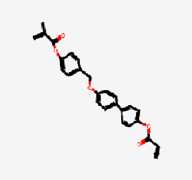 C=CC(=O)Oc1ccc(-c2ccc(OCc3ccc(OC(=O)C(=C)C)cc3)cc2)cc1